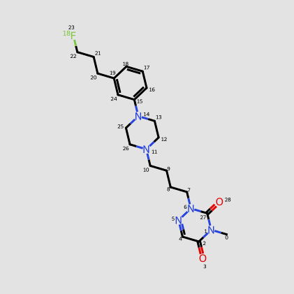 Cn1c(=O)cnn(CCCCN2CCN(c3cccc(CCC[18F])c3)CC2)c1=O